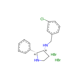 Br.Br.Clc1cccc(CN[C@@H]2CCN[C@@H]2c2ccccc2)c1